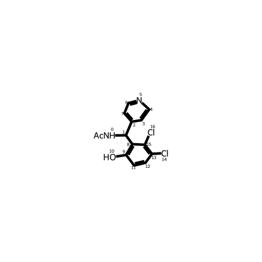 CC(=O)NC(c1ccncc1)c1c(O)ccc(Cl)c1Cl